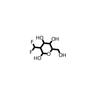 OCC1OC(O)C(C(F)F)C(O)C1O